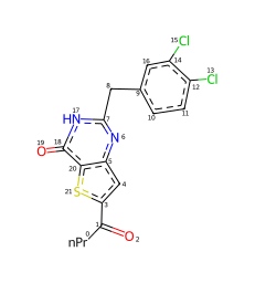 CCCC(=O)c1cc2nc(Cc3ccc(Cl)c(Cl)c3)[nH]c(=O)c2s1